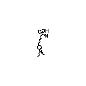 CCCN(CCC)c1ccc(/C=C/C=C/C=C(\C#N)C(=O)O)cc1